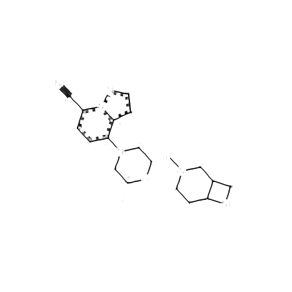 C[C@@H]1CN(c2ccc(C#N)n3nccc23)C[C@H](CN2CCC3NCC3C2)O1